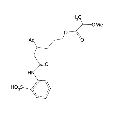 COC(C)C(=O)OCCCC(CC(=O)Nc1ccccc1S(=O)(=O)O)C(C)=O